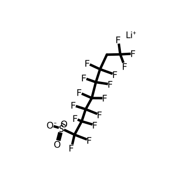 O=S(=O)([O-])C(F)(F)C(F)(F)C(F)(F)C(F)(F)C(F)(F)C(F)(F)CC(F)(F)F.[Li+]